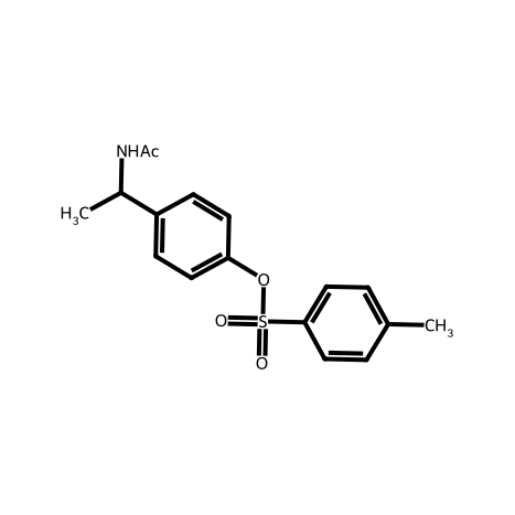 CC(=O)NC(C)c1ccc(OS(=O)(=O)c2ccc(C)cc2)cc1